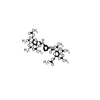 CC(=O)OC[C@H]1O[C@H](CC(=O)Nc2cccc(NC(=O)C[C@H]3O[C@H](COC(C)=O)[C@@H](OC(C)=O)[C@H](OC(C)=O)[C@@H]3OC(C)=O)c2)[C@@H](OC(C)=O)[C@@H](OC(C)=O)[C@@H]1OC(C)=O